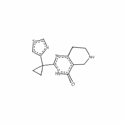 O=c1[nH]c(C2(c3cscn3)CC2)nc2c1CNCC2